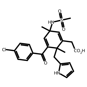 CC1(NS(C)(=O)=O)C=C(CC(=O)O)C(C)(Cc2ccc[nH]2)C(C(=O)c2ccc(Cl)cc2)=C1